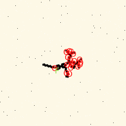 C=C(C)C(=O)OCCCc1cc(-c2ccc(OCCCCCCCC)c(F)c2)ccc1OCC(COC(=O)/C=C(\CC(=O)OC)C(=O)OC)(COC(=O)/C=C(\CC(=O)OC)C(=O)OC)COC(=O)C(=C)C